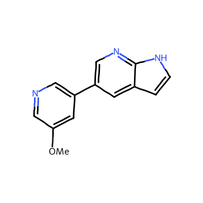 COc1cncc(-c2cnc3[nH]ccc3c2)c1